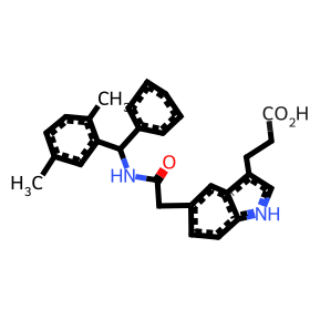 Cc1ccc(C)c(C(NC(=O)Cc2ccc3[nH]cc(CCC(=O)O)c3c2)c2ccccc2)c1